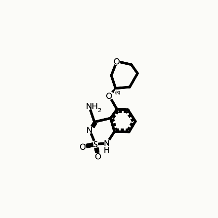 NC1=NS(=O)(=O)Nc2cccc(O[C@@H]3CCCOC3)c21